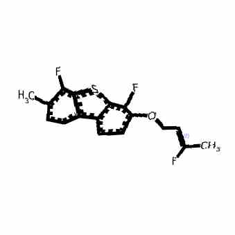 C/C(F)=C/COc1ccc2c(sc3c(F)c(C)ccc32)c1F